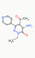 CCn1nc(-c2ccncc2)c(C(C)=O)c(N)c1=O